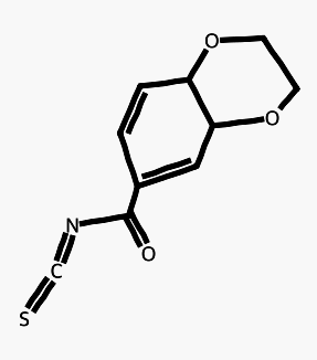 O=C(N=C=S)C1=CC2OCCOC2C=C1